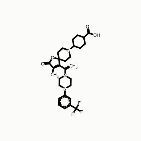 C=C(C1=C(C)C(=O)OC12CCN(C1CCC(C(=O)O)CC1)CC2)N1CCN(c2cccc(C(F)(F)F)c2)CC1